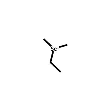 CC[Se+](C)C